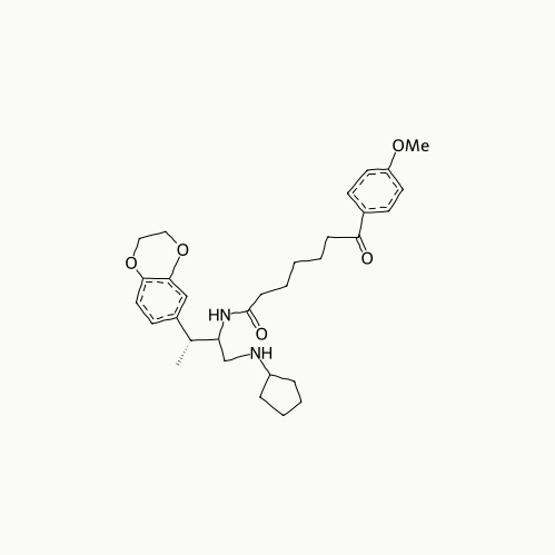 COc1ccc(C(=O)CCCCCC(=O)NC(CNC2CCCC2)[C@H](C)c2ccc3c(c2)OCCO3)cc1